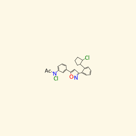 CC(=O)N(Cl)c1cccc(-c2cc(-c3ccccc3C3CCCC3Cl)no2)c1